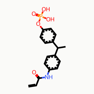 C=CC(=O)Nc1ccc(C(C)c2ccc(OP(=O)(O)O)cc2)cc1